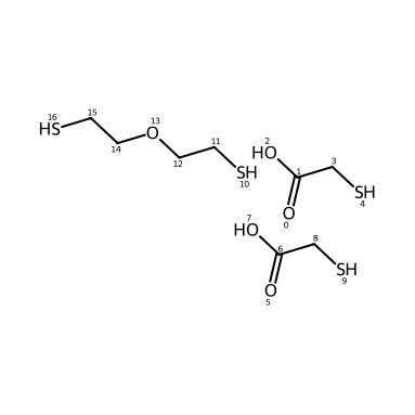 O=C(O)CS.O=C(O)CS.SCCOCCS